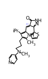 Cc1[nH]c(/C=C2/C(=O)NN=C2c2cccs2)c(C(C)C)c1CCCN(C)c1ccncc1